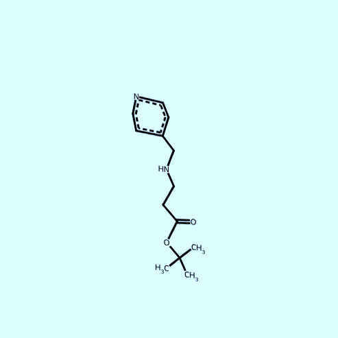 CC(C)(C)OC(=O)CCNCc1ccncc1